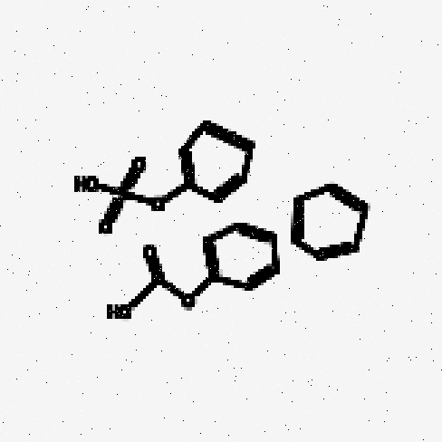 O=C(O)Oc1ccccc1.O=S(=O)(O)Oc1ccccc1.c1ccccc1